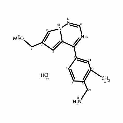 COCc1cc2c(-c3ccc(CN)c(C)c3)ncnn2c1.Cl